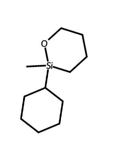 C[Si]1(C2CCCCC2)CCCCO1